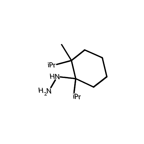 CC(C)C1(C)CCCCC1(NN)C(C)C